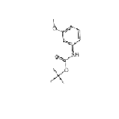 COc1cccc(NC(=O)OC(C)(C)C)c1